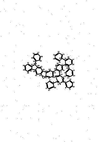 c1ccc(-c2nc(-c3ccccc3)nc(-c3cc(-c4c(-c5ccccc5)cccc4-c4ccccc4)cnc3-c3ccc4oc5cc6c7ccccc7n(-c7ccccc7)c6cc5c4c3)n2)cc1